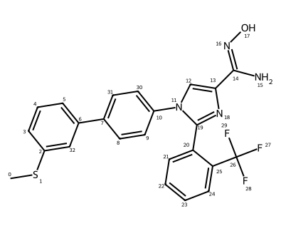 CSc1cccc(-c2ccc(-n3cc(C(N)=NO)nc3-c3ccccc3C(F)(F)F)cc2)c1